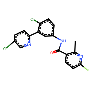 Cc1nc(F)ccc1C(=O)Nc1ccc(Cl)c(-c2ccc(Cl)cn2)c1